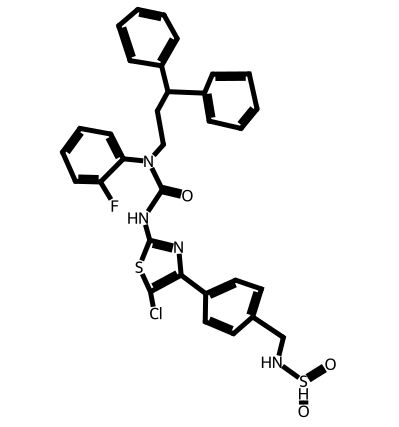 O=C(Nc1nc(-c2ccc(CN[SH](=O)=O)cc2)c(Cl)s1)N(CCC(c1ccccc1)c1ccccc1)c1ccccc1F